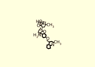 Cc1cc(COc2ccc([C@]3(N)CCN(C(CC(C)C)C(=O)NO)C3=O)cc2)c2ccccc2n1